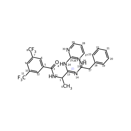 CC(NC(=O)c1cc(C(F)(F)F)cc(C(F)(F)F)c1)/C(=N/C(=N)Cc1ccccc1)Nc1ncccn1